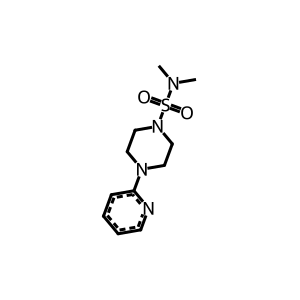 CN(C)S(=O)(=O)N1CCN(c2ccccn2)CC1